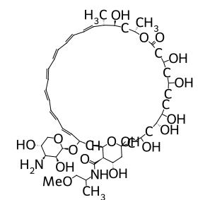 COCC(C)NC(=O)[C@H]1[C@@H]2CC(O[C@@H]3OC[C@@H](O)[C@H](N)[C@@H]3O)/C=C/C=C/C=C/C=C/C=C/C=C/C=C/[C@H](C)[C@@H](O)C[C@H](C)OC(=O)CC(O)CC(O)CCC(O)[C@H](O)CC(O)CC(O)(C[C@@H]1O)O2